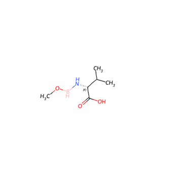 COBN[C@@H](C(=O)O)C(C)C